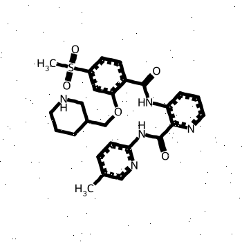 Cc1ccc(NC(=O)c2ncccc2NC(=O)c2ccc(S(C)(=O)=O)cc2OCC2CCCNC2)nc1